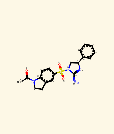 CCCC(=O)N1CCc2cc(S(=O)(=O)N3C[C@@H](c4ccccc4)N=C3N)ccc21